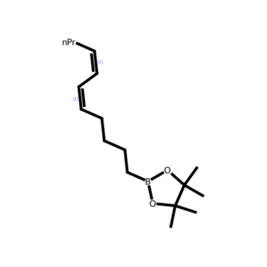 CCC/C=C\C=C/CCCCB1OC(C)(C)C(C)(C)O1